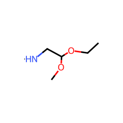 CCOC(C[NH])OC